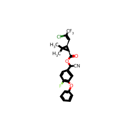 CC1(C)[C@H](C(=O)OC(C#N)c2ccc(F)c(Oc3ccccc3)c2)[C@@H]1/C=C(\Cl)C(F)(F)F